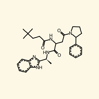 C[C@H](NC(=O)C(CC(=O)N1CCCC1c1ccccc1)NC(=O)CCC(C)(C)C)c1nc2ccccc2[nH]1